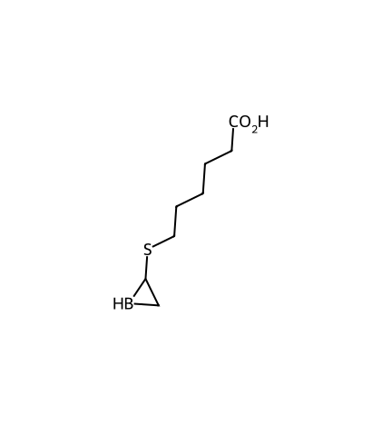 O=C(O)CCCCCSC1BC1